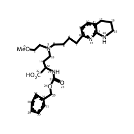 COCCN(CCCCc1ccc2c(n1)NCCC2)CCC(NC(=O)OCc1ccccc1)C(=O)O